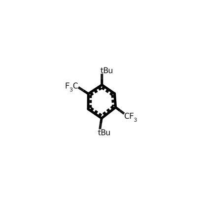 CC(C)(C)c1cc(C(F)(F)F)c(C(C)(C)C)cc1C(F)(F)F